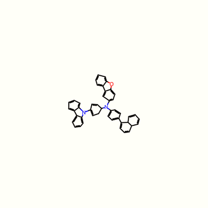 C1=CC2C=CC=C(c3ccc(N(c4ccc5oc6ccccc6c5c4)C4C=CC(n5c6ccccc6c6ccccc65)=CC4)cc3)C2C=C1